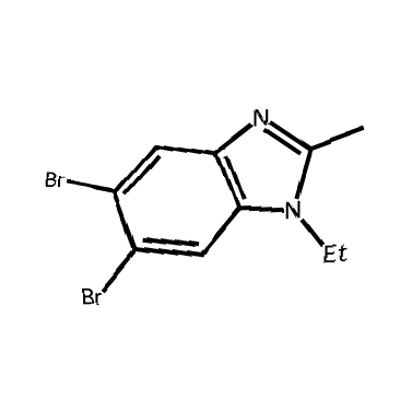 CCn1c(C)nc2cc(Br)c(Br)cc21